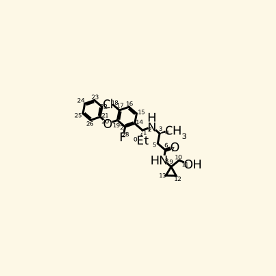 CC[C@@H](N[C@@H](C)CC(=O)NC1(CO)CC1)c1ccc(Cl)c(Oc2ccccc2)c1F